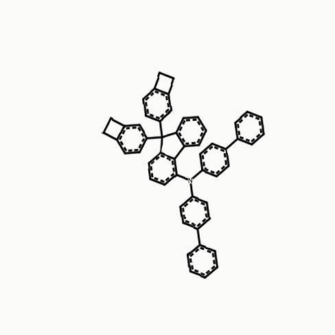 c1ccc(-c2ccc(N(c3ccc(-c4ccccc4)cc3)c3cccc4c3-c3ccccc3C4(c3ccc4c(c3)CC4)c3ccc4c(c3)CC4)cc2)cc1